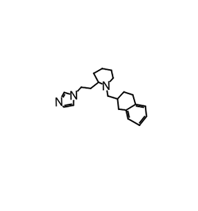 c1ccc2c(c1)CCC(CN1CCCCC1CCn1ccnc1)C2